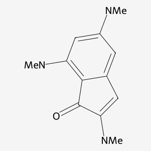 CNC1=Cc2cc(NC)cc(NC)c2C1=O